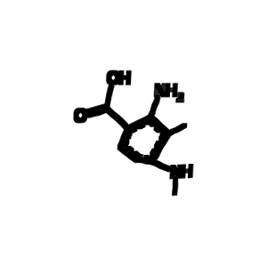 CNc1ccc(C(=O)O)c(N)c1C